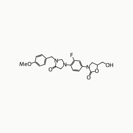 COc1ccc(CN2CN(c3ccc(N4CC(CO)OC4=O)cc3F)CC2=O)cc1